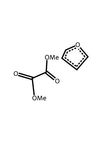 COC(=O)C(=O)OC.c1ccoc1